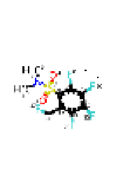 CN(C)S(=O)(=O)c1c(F)c(F)c(F)c(F)c1CF